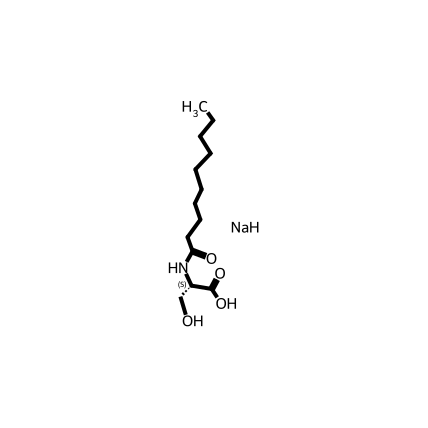 CCCCCCCCCC(=O)N[C@@H](CO)C(=O)O.[NaH]